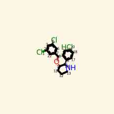 Cl.Clc1cc(Cl)cc(CO[C@@H]2CCCN[C@@H]2c2ccccc2)c1